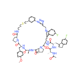 COc1ccc(C[C@@H]2NC(=O)[C@H](C)NC(=O)[C@@H]3CCCN3C(=O)[C@H](NC(=O)[C@H](CC3=CCc4ccc(F)cc43)NC(=O)[C@@H](C)NC(C)=O)Cc3cn(c4ccc(F)cc34)Cc3cn(nn3)-c3cccc(c3)CSCCNC(=O)[C@]3(C)CCCN3C2=O)cc1